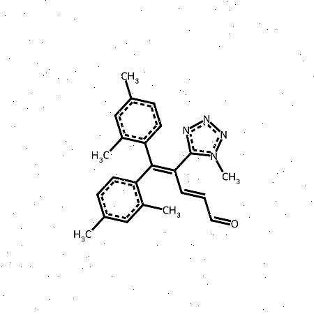 Cc1ccc(C(=C(/C=C/C=O)c2nnnn2C)c2ccc(C)cc2C)c(C)c1